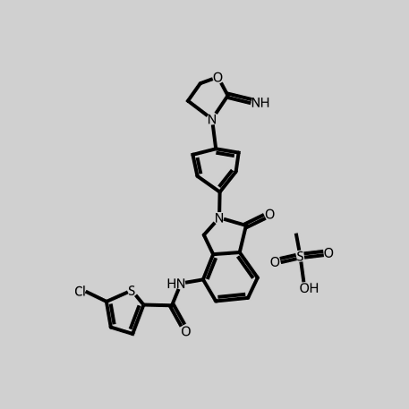 CS(=O)(=O)O.N=C1OCCN1c1ccc(N2Cc3c(NC(=O)c4ccc(Cl)s4)cccc3C2=O)cc1